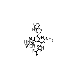 Cc1nc(-c2nnc(C(F)F)s2)c2cc(S(=O)(=O)NC3(C)CC3)cc(N3CCN4CCOC[C@@H]4C3)c2n1